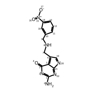 NC1=NC(=O)C2=C(CNCc3cccc([N+](=O)[O-])c3)C=NC2=N1